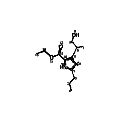 CCCc1nc(C(C)CO)c(C(=O)OCC)[nH]1